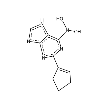 ON(O)c1nc(C2=CCCC2)nc2nc[nH]c12